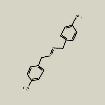 Nc1ccc(CN=NCc2ccc(N)cc2)cc1